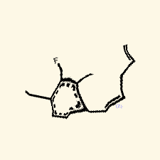 C=CC/C=C\c1ccc(C)c(F)c1C